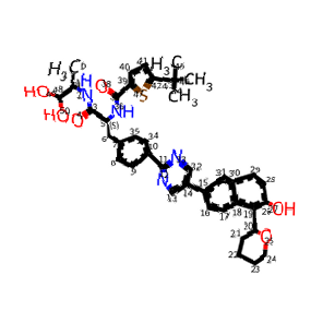 C[C@@H](NC(=O)[C@H](Cc1ccc(-c2ncc(-c3ccc4c(C5CCCCO5)c(O)ccc4c3)cn2)cc1)NC(=O)c1ccc(C(C)(C)C)s1)C(O)O